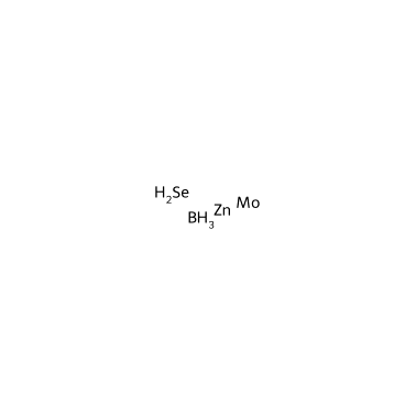 B.[Mo].[SeH2].[Zn]